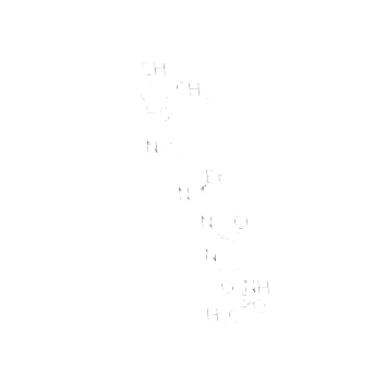 CC[C@H]1CN(c2ncc(NS(C)(=O)=O)cc2Cl)CCN1C1CCN(Cc2cc(C)c(C)s2)CC1